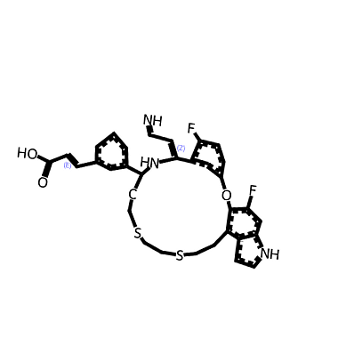 N=C/C=C1\NC(c2cccc(/C=C/C(=O)O)c2)CCSCCSCCc2c(c(F)cc3[nH]ccc23)Oc2ccc(F)c1c2